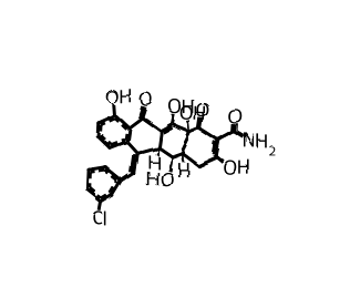 NC(=O)C1=C(O)C[C@@H]2[C@@H](O)[C@H]3C(=C(O)[C@]2(O)C1=O)C(=O)c1c(O)cccc1/C3=C\c1cccc(Cl)c1